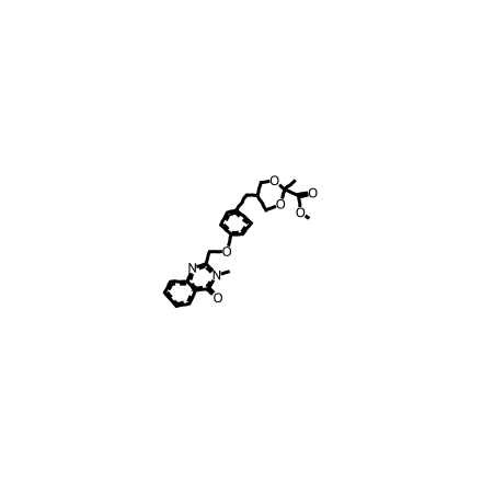 COC(=O)C1(C)OCC(Cc2ccc(OCc3nc4ccccc4c(=O)n3C)cc2)CO1